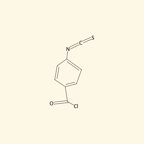 O=C(Cl)c1ccc(N=C=S)cc1